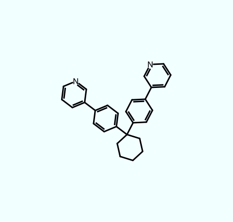 c1cncc(-c2ccc(C3(c4ccc(-c5cccnc5)cc4)CCCCC3)cc2)c1